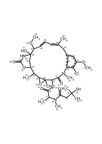 COc1cc2cc(c1Cl)N(C)C(=O)C(OC(=O)C(C)N(C)C(=O)CC(C)(C)S)C1(C)OC1C(C)C1CC(O)(NC(=O)O1)C(OC)/C=C/C=C(\C)C2